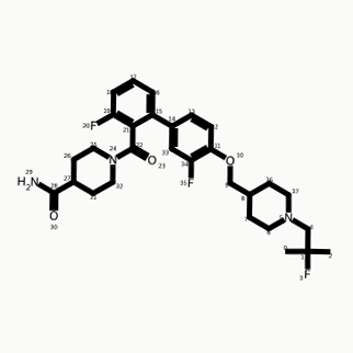 CC(C)(F)CN1CCC(COc2ccc(-c3cccc(F)c3C(=O)N3CCC(C(N)=O)CC3)cc2F)CC1